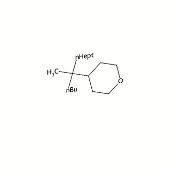 CCCCCCCC(C)(CCCC)C1CCOCC1